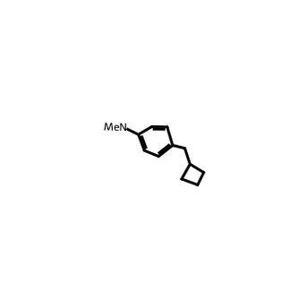 CNc1ccc(CC2CCC2)cc1